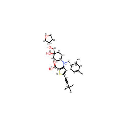 CC1=CC[C@H](CN(c2cc(C#CC(C)(C)C)sc2C(=O)O)[C@H]2CC[C@](O)(CO[C@H]3CCOC3)CC2)[C@@H](C)C1